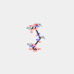 CC(=O)NC1C(OCCCCC(=O)NCC(C)CNC(=O)CCCCOC(OC(CO)[C@@H](C)O)[C@H](CO)NC(C)=O)OC(CO)C(O)C1O